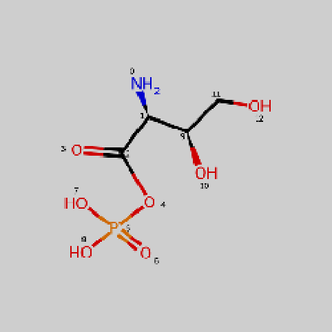 N[C@H](C(=O)OP(=O)(O)O)[C@H](O)CO